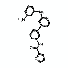 Nc1cccc(Nc2cc(-c3cccc(NC(=O)c4ccco4)c3)ccn2)c1